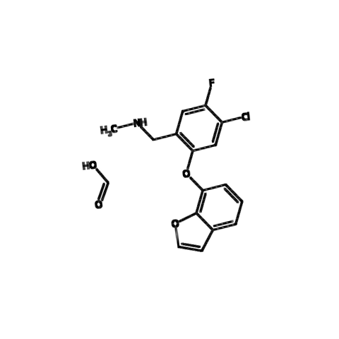 CNCc1cc(F)c(Cl)cc1Oc1cccc2ccoc12.O=CO